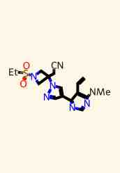 C=Cc1c(NC)ncnc1-c1cnn(C2(CC#N)CN(S(=O)(=O)CC)C2)c1